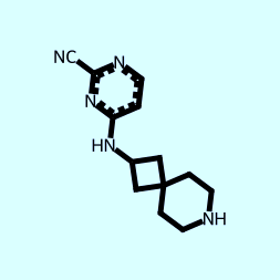 N#Cc1nccc(NC2CC3(CCNCC3)C2)n1